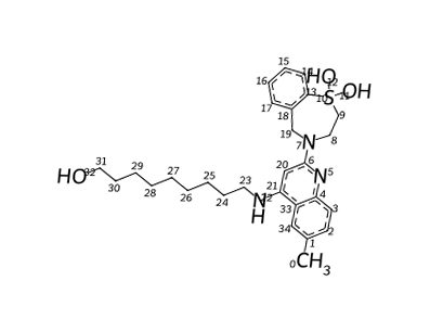 Cc1ccc2nc(N3CCS(O)(O)c4ccccc4C3)cc(NCCCCCCCCCO)c2c1